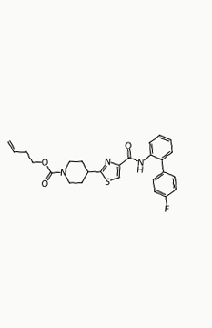 C=CCCOC(=O)N1CCC(c2nc(C(=O)Nc3ccccc3-c3ccc(F)cc3)cs2)CC1